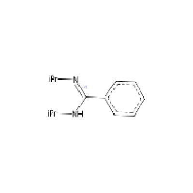 CC(C)/N=C(\NC(C)C)c1ccccc1